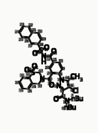 CCCCN(CCCC)C(=O)c1nn(-c2ccc(C(=O)NS(=O)(=O)c3ccc4ccccc4c3)cc2C(=O)N2Cc3ccccc3S(=O)(=O)C2)c(C)c1Cl